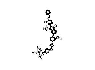 C[C@@H]1CN([C@H]2C[C@H](OC3CCN(C(=O)OC(C)(C)C)CC3)C2)CCN1c1ccc2c(c1)[C@@H](C)N(c1ccc(OCc3ccccc3)[nH]c1=O)C2=O